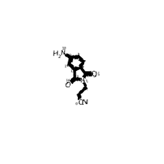 N#CCCN1C(=O)c2ccc(N)cc2C1=O